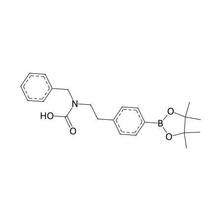 CC1(C)OB(c2ccc(CCN(Cc3ccccc3)C(=O)O)cc2)OC1(C)C